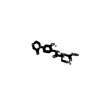 CNC(=O)N[C@@H](CN)C(=O)Nc1ccc(N2CCOCC2=O)cc1C(F)(F)F